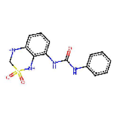 O=C(Nc1ccccc1)Nc1cccc2c1NS(=O)(=O)CN2